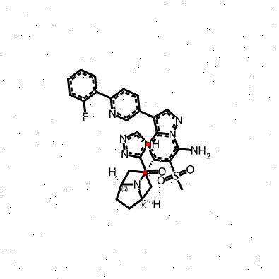 CS(=O)(=O)c1c([C@@H]2C[C@H]3CC[C@@H](C2)N3C(=O)c2nnc[nH]2)nc2c(-c3ccc(-c4ccccc4F)nc3)cnn2c1N